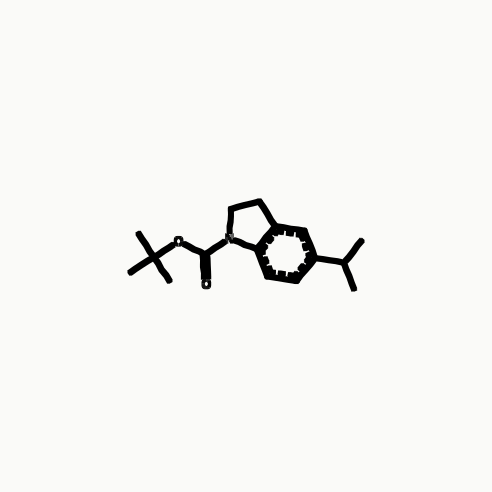 CC(C)c1ccc2c(c1)CCN2C(=O)OC(C)(C)C